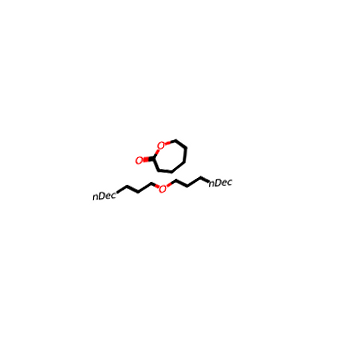 CCCCCCCCCCCCCOCCCCCCCCCCCCC.O=C1CCCCCO1